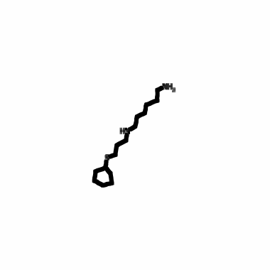 NCCCCCCNCCCSC1CCCCC1